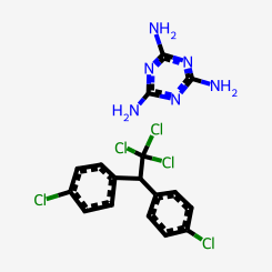 Clc1ccc(C(c2ccc(Cl)cc2)C(Cl)(Cl)Cl)cc1.Nc1nc(N)nc(N)n1